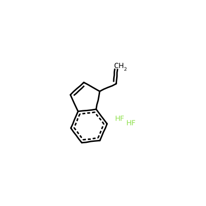 C=CC1C=Cc2ccccc21.F.F